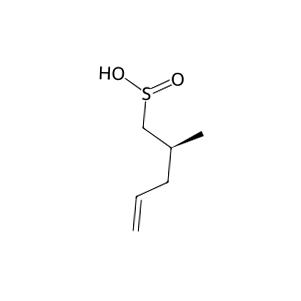 C=CC[C@H](C)CS(=O)O